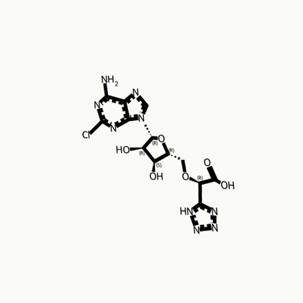 Nc1nc(Cl)nc2c1ncn2[C@@H]1O[C@H](CO[C@@H](C(=O)O)c2nnn[nH]2)[C@@H](O)[C@H]1O